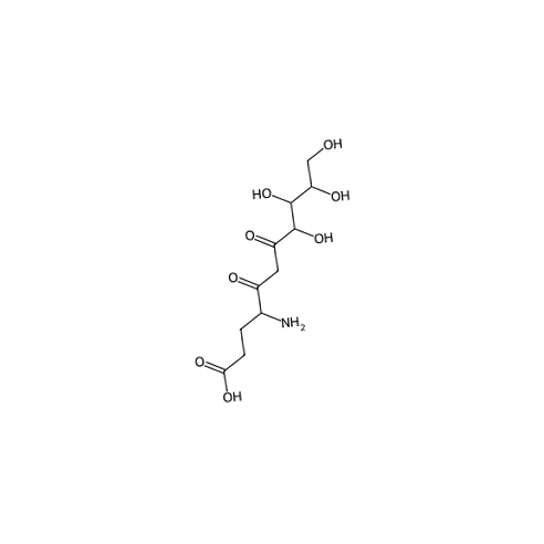 NC(CCC(=O)O)C(=O)CC(=O)C(O)C(O)C(O)CO